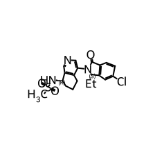 CC[C@H]1c2cc(Cl)ccc2C(=O)N1c1cncc2c1CCC[C@H]2NS(C)(=O)=O